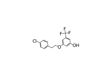 Oc1cc(OCCc2ccc(Cl)cc2)cc(C(F)(F)F)c1